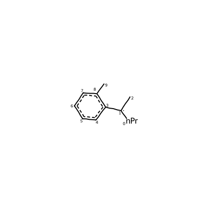 CCC[C](C)c1ccccc1C